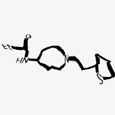 CCC(=O)NC1CCN(CCc2cccs2)CC1